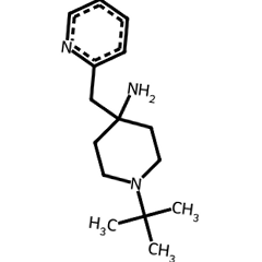 CC(C)(C)N1CCC(N)(Cc2ccccn2)CC1